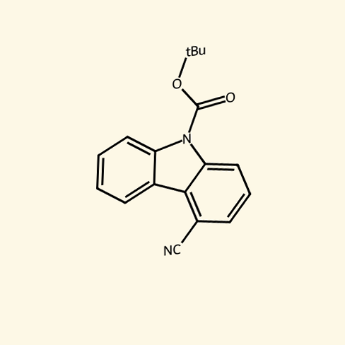 CC(C)(C)OC(=O)n1c2ccccc2c2c(C#N)cccc21